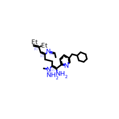 C\C=N/C(=C\C(=C\CC)CC)CC/C(=C(/N)c1ccc(CC2CCCCC2)cn1)N(C)N